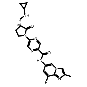 Cc1cn2cc(NC(=O)c3cnc(N4CC[C@H](CNC5CC5)C4=O)cn3)cc(F)c2n1